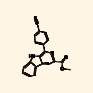 COC(=O)c1cc2c([nH]c3ccccc32)c(-c2ccc(C#N)cc2)n1